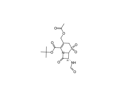 CC(=O)OCC1=C(C(=O)OC(C)(C)C)N2C(=O)[C@@H](NC=O)C2S(=O)(=O)C1